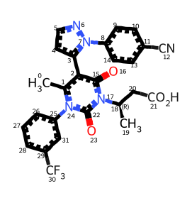 Cc1c(-c2ccnn2-c2ccc(C#N)cc2)c(=O)n([C@H](C)CC(=O)O)c(=O)n1-c1cccc(C(F)(F)F)c1